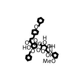 COc1cccc(NC(O)C2OC(Oc3cc4oc(-c5ccc(OCc6ccccc6)cc5)cc(=O)c4c(O)c3OCc3ccccc3)C(O)C(O)C2O)c1